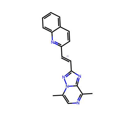 Cc1ncc(C)n2nc(/C=C/c3ccc4ccccc4n3)nc12